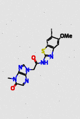 COc1cc2nc(NC(=O)Cn3cnc4c3ncc(=O)n4C)sc2cc1C